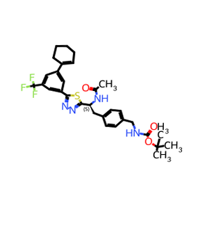 CC(=O)N[C@@H](Cc1ccc(CNC(=O)OC(C)(C)C)cc1)c1nnc(-c2cc(C3=CCCCC3)cc(C(F)(F)F)c2)s1